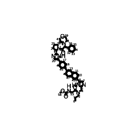 CCCN(Cc1ncc(-c2ccc3cc(-c4ccc(-c5cnc([C@@H]6CCCN6C(=O)C(c6ccccc6)N6CCOCC6)[nH]5)cc4)ccc3c2)[nH]1)C(=O)CNC(=O)OC